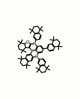 CC1(C)CCC(C)(C)c2cc(-c3cc4c5c(c3)N(c3ccc6c(c3)C(C)(C)CCC6(C)C)c3cc6c(cc3B5C3=C(OC5C3C(C)(C)CCC5(C)C)N4c3ccc4c(c3)C(C)(C)CCC4(C)C)C(C)(C)CCC6(C)C)ccc21